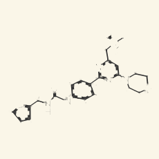 CS(=O)(=O)Cc1cc(N2CCOCC2)nc(-c2ccc(NC(=O)NCc3ccco3)cc2)n1